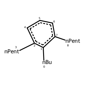 [CH2]CCCc1c(CCCCC)cccc1CCCCC